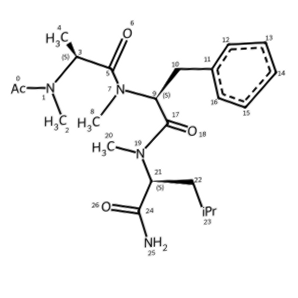 CC(=O)N(C)[C@@H](C)C(=O)N(C)[C@@H](Cc1ccccc1)C(=O)N(C)[C@@H](CC(C)C)C(N)=O